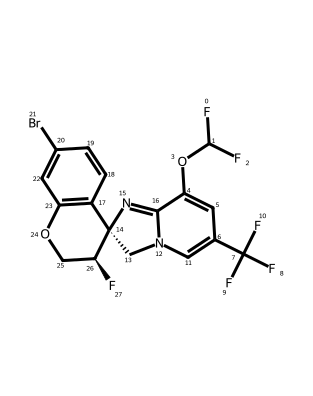 FC(F)OC1=CC(C(F)(F)F)=CN2C[C@@]3(N=C12)c1ccc(Br)cc1OC[C@@H]3F